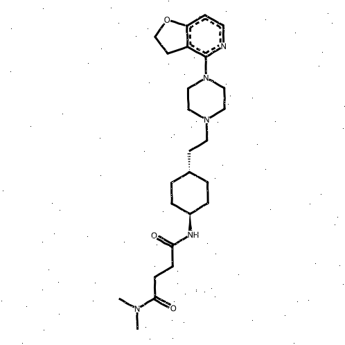 CN(C)C(=O)CCC(=O)N[C@H]1CC[C@H](CCN2CCN(c3nccc4c3CCO4)CC2)CC1